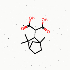 CC12CCC(C1)C(C)(C)[C@@H]2C(C(=O)O)C(=O)O